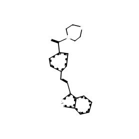 O=C(c1ccc(C=Cc2n[nH]c3ccccc23)cc1)N1CCSCC1